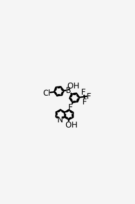 OB(c1ccc(Cl)cc1)c1cc(F)cc(C(F)(F)F)c1.Oc1cccc2cccnc12